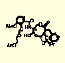 COc1ccnc(C(=O)N[C@H]2COC(=O)C(Cc3ccccc3)[C@@H](OC(=O)C(C)C)[C@H](C)OC2O)c1OCOCCOC(C)=O